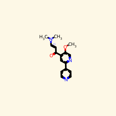 COc1cnc(-c2ccncc2)cc1C(=O)/C=C/N(C)C